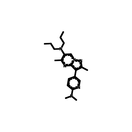 CCCN(CCC)c1cn2nc(C)c(-c3ccc(N(C)C)nc3)c2nc1C